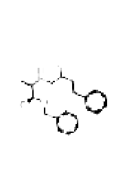 CC(NCC(CCc1ccccc1)C(=O)O)C(=O)OCc1ccccc1